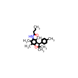 CCCC(=O)Nc1c(C)c(C)c2c(c1C)C(c1ccc(C)cc1)C(C)(C)O2